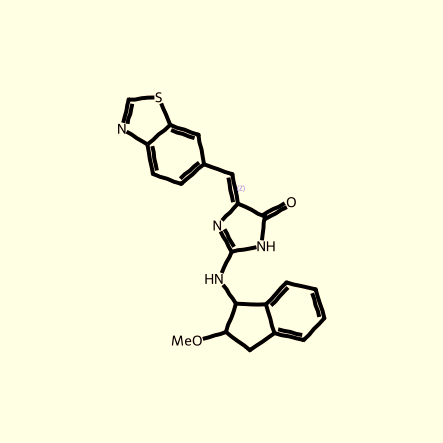 COC1Cc2ccccc2C1NC1=N/C(=C\c2ccc3ncsc3c2)C(=O)N1